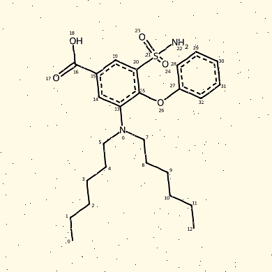 CCCCCCN(CCCCCC)c1cc(C(=O)O)cc(S(N)(=O)=O)c1Oc1ccccc1